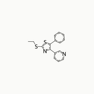 CCSc1nc(-c2cccnc2)c(-c2ccccc2)s1